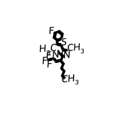 CCCCCc1cc(C(F)(F)F)nn2c(-c3sc4ccc(F)cc4c3C)c(C)nc12